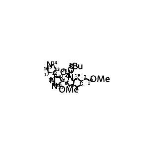 CO/C=C/c1ccc2cc(-c3cc(-c4ccncc4)nnc3OC)n(C(=O)OC(C)(C)C)c2c1